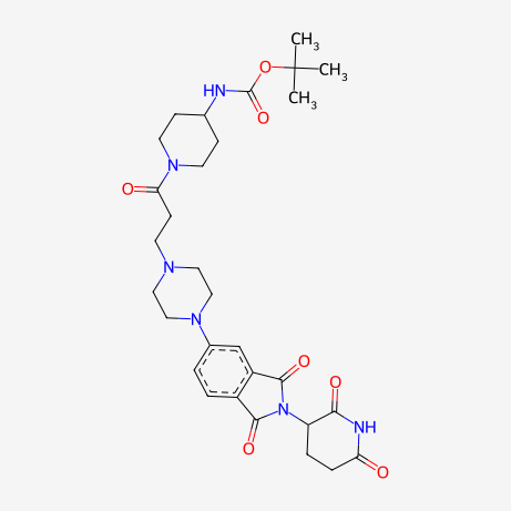 CC(C)(C)OC(=O)NC1CCN(C(=O)CCN2CCN(c3ccc4c(c3)C(=O)N(C3CCC(=O)NC3=O)C4=O)CC2)CC1